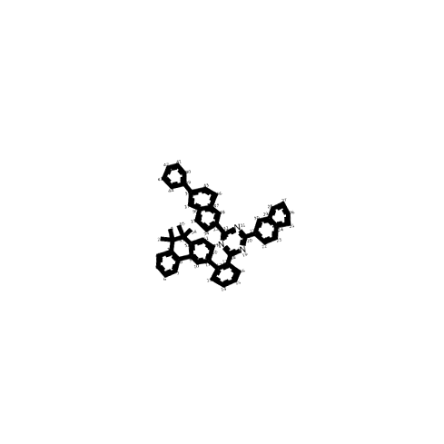 CC1(C)c2ccccc2-c2cc(-c3ccccc3-c3nc(-c4ccc5ccccc5c4)nc(-c4ccc5cc(-c6ccccc6)ccc5c4)n3)ccc2C1(C)C